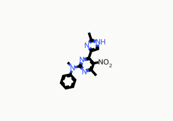 Cc1nc(-c2nc(N(C)c3ccccc3)nc(C)c2[N+](=O)[O-])c[nH]1